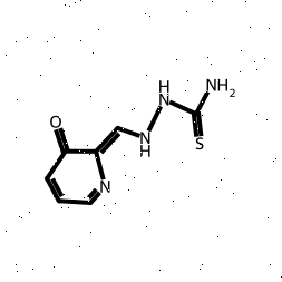 NC(=S)NNC=C1N=CC=CC1=O